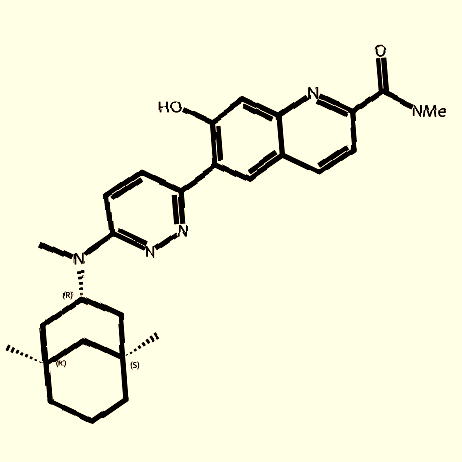 CNC(=O)c1ccc2cc(-c3ccc(N(C)[C@H]4C[C@]5(C)CCC[C@](C)(C4)C5)nn3)c(O)cc2n1